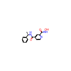 C[C@@H](NC(=O)c1ccnc(C(=O)NO)c1)c1ccccc1